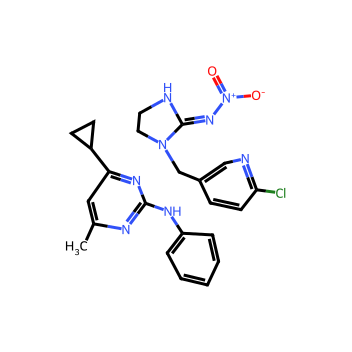 Cc1cc(C2CC2)nc(Nc2ccccc2)n1.O=[N+]([O-])/N=C1\NCCN1Cc1ccc(Cl)nc1